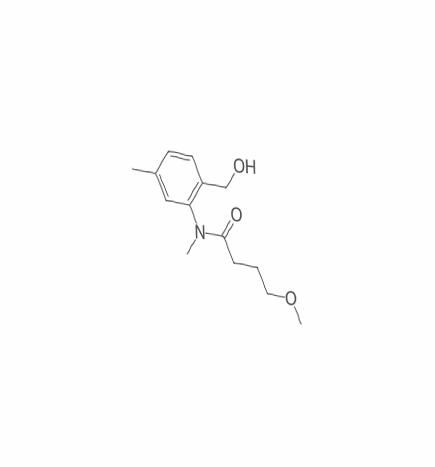 COCCCC(=O)N(C)c1cc(C)ccc1CO